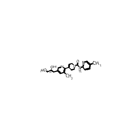 Cc1ccc(NC(=O)N2CC=C(c3ncc(C[C@@H](O)CO)cc3C)CC2)nc1